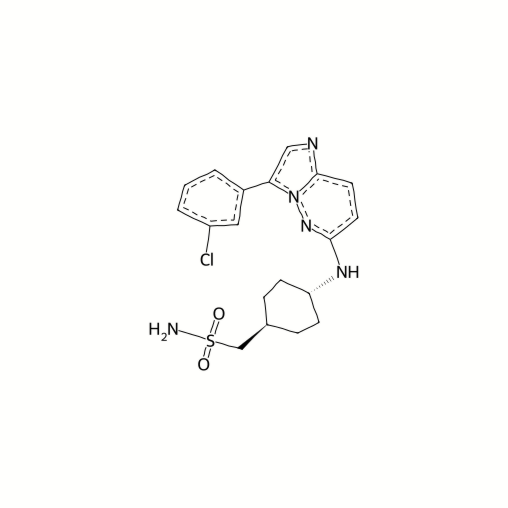 NS(=O)(=O)C[C@H]1CC[C@H](Nc2ccc3ncc(-c4cccc(Cl)c4)n3n2)CC1